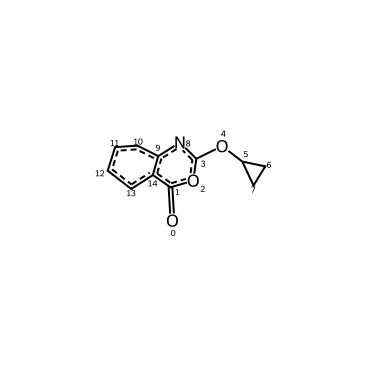 O=c1oc(OC2CC2)nc2ccccc12